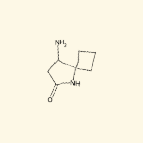 NC1CC(=O)NC12CCC2